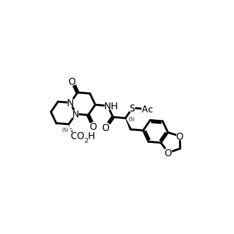 CC(=O)S[C@@H](Cc1ccc2c(c1)OCO2)C(=O)NC1CC(=O)N2CCC[C@@H](C(=O)O)N2C1=O